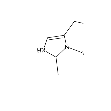 CCC1=CNC(C)N1I